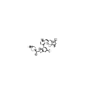 CN1CC(=O)N(Cc2cc3nccc(-c4cc(Cl)cc5c4OC(C(=O)N4CCNCC4)C5)c3s2)C1=O